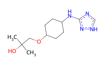 CC(C)(O)COC1CCC(Nc2nc[nH]n2)CC1